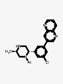 CC(=O)N1C[C@@H](C)NC[C@@H]1c1cc(Cl)cc(-c2cnc3cccnc3c2)c1